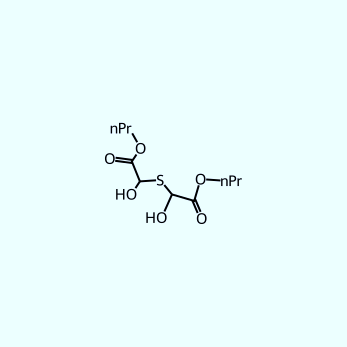 CCCOC(=O)C(O)SC(O)C(=O)OCCC